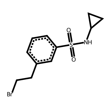 O=S(=O)(NC1CC1)c1cccc(CCBr)c1